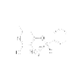 Cc1cc(OS(=O)(=O)c2ccccc2)c([N+](=O)[O-])c(O)n1